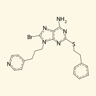 Nc1nc(SCCc2ccccc2)nc2c1nc(Br)n2CCCc1ccncc1